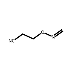 C=NOCCC#N